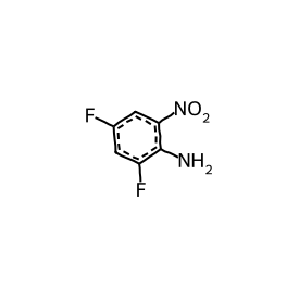 Nc1c(F)cc(F)cc1[N+](=O)[O-]